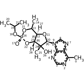 Cc1ncnc2c1ncn2[C@@H]1O[C@@H]2C(C)OP(=O)(OC(C)C)O[C@H]2[C@@]1(C)O